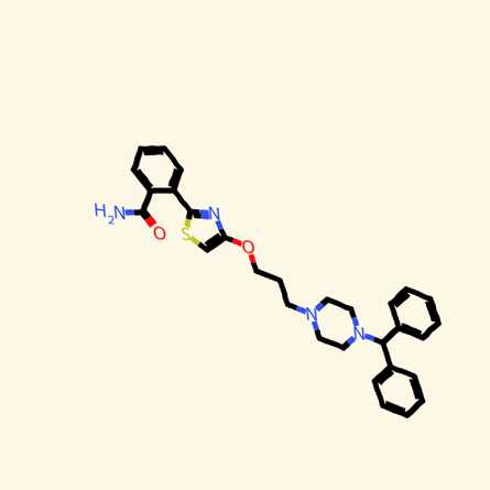 NC(=O)c1ccccc1-c1nc(OCCCN2CCN(C(c3ccccc3)c3ccccc3)CC2)cs1